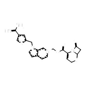 N=C(N)c1csc(Cn2ccc3cc[n+](COC(=O)C4=CCSC5CC(=O)N45)cc32)c1